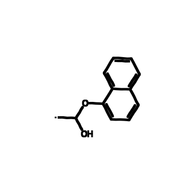 [CH2]C(O)Oc1cccc2ccccc12